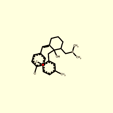 Cc1ccc(C)c(CC2(O)/C(=C\c3ccc(Cl)cc3)CCCC2CN(C)C)c1